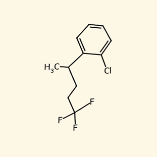 CC(CCC(F)(F)F)c1ccccc1Cl